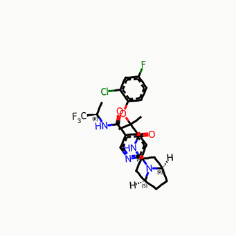 C[C@@H](NC(=O)c1ccc(N2[C@@H]3CC[C@H]2C[C@@H](NC(=O)C(C)(C)Oc2ccc(F)cc2Cl)C3)nc1)C(F)(F)F